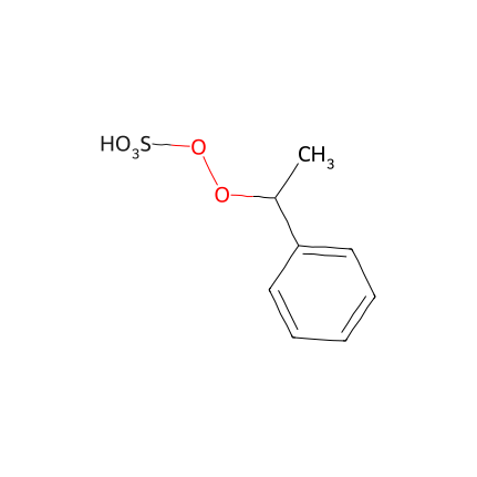 CC(OOS(=O)(=O)O)c1ccccc1